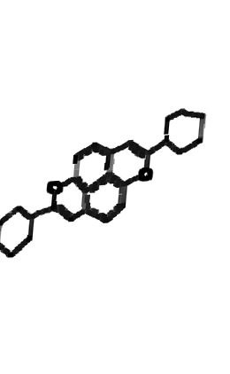 C1=C(C2CCCCC2)Oc2ccc3c4c(ccc1c24)OC(C1CCCCC1)=C3